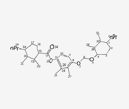 CCCC1CCC(OCOc2ccc(OC(=O)C3CCC(CCC)C(C)C3C)c(C)c2C)C(C)C1C